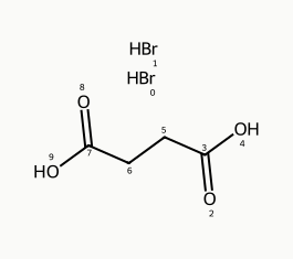 Br.Br.O=C(O)CCC(=O)O